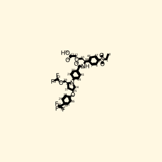 CCS(=O)(=O)c1ccc([C@H](COCC(=O)O)NC(=O)c2ccc(N3C[C@@H](Oc4ccc(C(F)(F)F)cc4)C[C@H]3COC(F)F)cc2)cc1